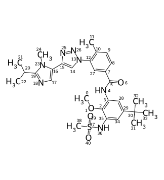 COc1c(NC(=O)c2ccc(C)c(-n3cc(-c4cnc(C(C)C)n4C)nn3)c2)cc(C(C)(C)C)cc1NS(C)(=O)=O